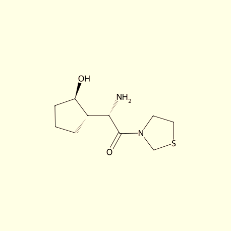 N[C@H](C(=O)N1CCSC1)[C@@H]1CCC[C@H]1O